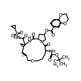 CC(C)(C)OC(=O)NC1CCCCC/C=C/C2CC2(C(=O)NS(=O)(=O)C2CC2)NC(=O)C2CC(OC(=O)c3ccc4c(c3)OCCO4)CN2C1=O